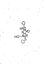 O=c1c2nc(SC3CCCC3)n(CCO)c2nc2[nH]c(-c3ccccc3)cn12